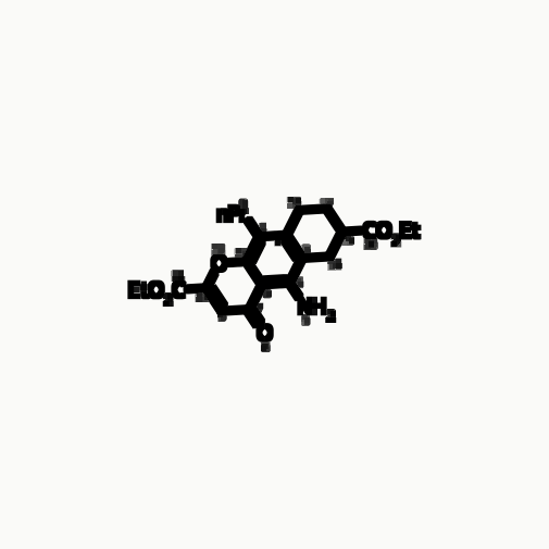 CCCc1c2c(c(N)c3c(=O)cc(C(=O)OCC)oc13)CC(C(=O)OCC)CC2